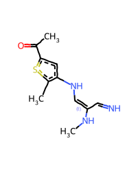 CN/C(C=N)=C/Nc1cc(C(C)=O)sc1C